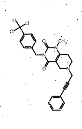 Cn1c2c(c(=O)n(Cc3ccc(C(Cl)(Cl)Cl)cc3)c1=O)CN(CC#Cc1ccccc1)CC2